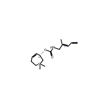 C=C/C=C(\C)CNC(=O)O[C@H]1C=CCC[Si](C)(C)C1